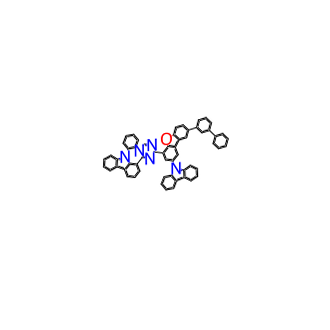 c1ccc(-c2cccc(-c3ccc4oc5c(-c6ncnc(-c7cccc8c9ccccc9n(-c9ccccc9)c78)n6)cc(-n6c7ccccc7c7ccccc76)cc5c4c3)c2)cc1